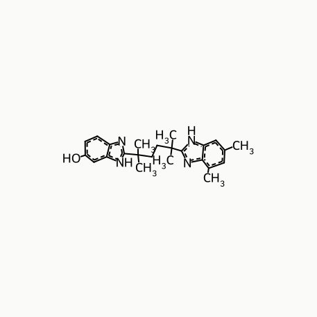 Cc1cc(C)c2nc(C(C)(C)CCC(C)(C)c3nc4ccc(O)cc4[nH]3)[nH]c2c1